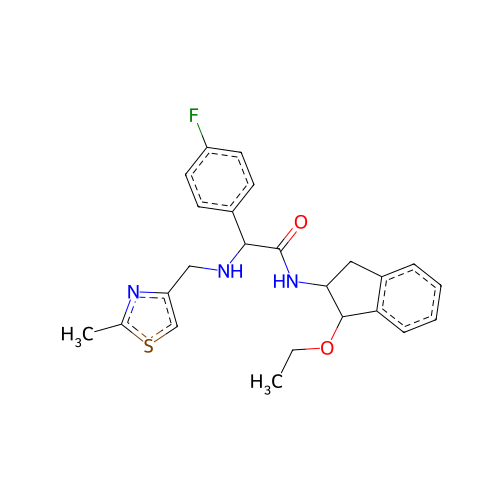 CCOC1c2ccccc2CC1NC(=O)C(NCc1csc(C)n1)c1ccc(F)cc1